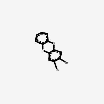 Brc1cc2c(cc1Br)Sc1ccccc1S2